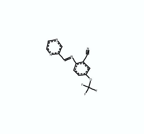 N#Cc1cc(OC(F)(F)F)ccc1/N=C/c1cnccn1